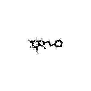 Cn1c(/C=C/c2ccccc2)nc2[nH]c(=O)[nH]c(=O)c21